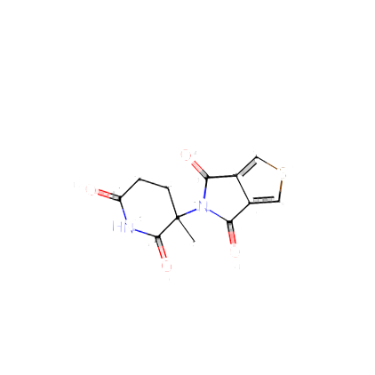 CC1(N2C(=O)c3cscc3C2=O)CCC(=O)NC1=O